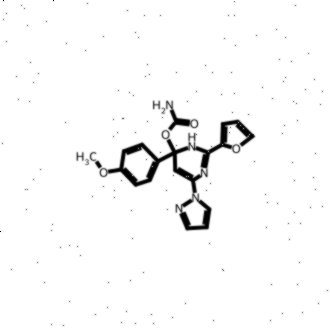 COc1ccc(C2(OC(N)=O)C=C(n3cccn3)N=C(c3ccco3)N2)cc1